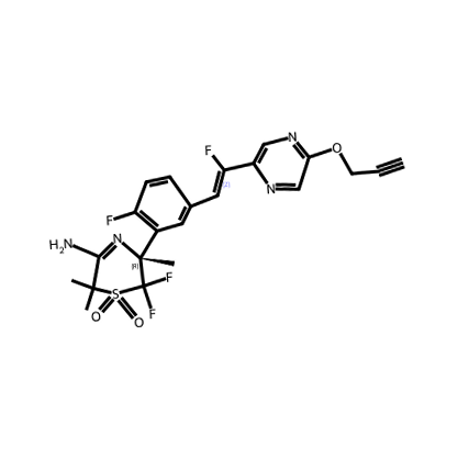 C#CCOc1cnc(/C(F)=C/c2ccc(F)c([C@@]3(C)N=C(N)C(C)(C)S(=O)(=O)C3(F)F)c2)cn1